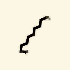 CCCCCCCCCCOCC[CH]C(F)(F)F